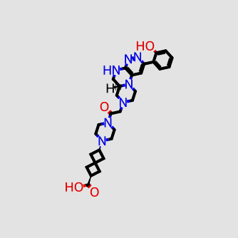 O=C(CN1CCN2c3cc(-c4ccccc4O)nnc3NC[C@H]2C1)N1CCN([C@H]2CC3(C[C@H](C(=O)O)C3)C2)CC1